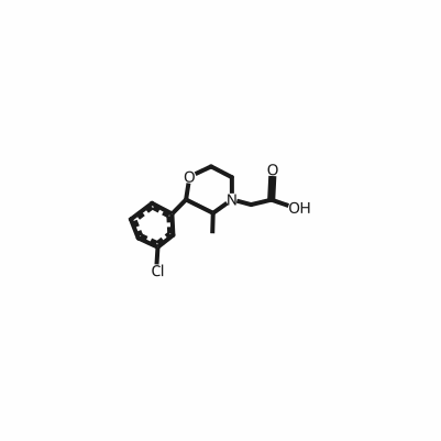 CC1C(c2cccc(Cl)c2)OCCN1CC(=O)O